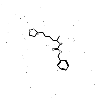 CC(CCCC[C@H]1CCSS1)NC(=O)OCc1ccccc1